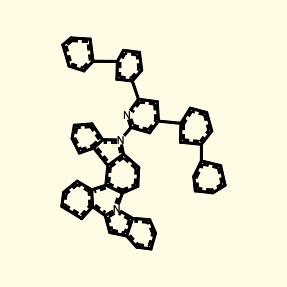 c1ccc(-c2cccc(-c3cc(-c4cccc(-c5ccccc5)c4)nc(-n4c5ccccc5c5c6c7ccccc7c7cc8ccccc8n7c6ccc54)c3)c2)cc1